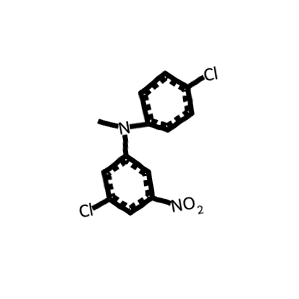 CN(c1ccc(Cl)cc1)c1cc(Cl)cc([N+](=O)[O-])c1